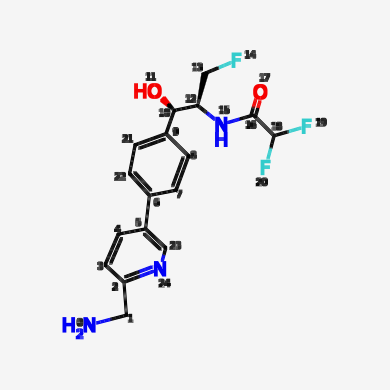 NCc1ccc(-c2ccc([C@@H](O)[C@@H](CF)NC(=O)C(F)F)cc2)cn1